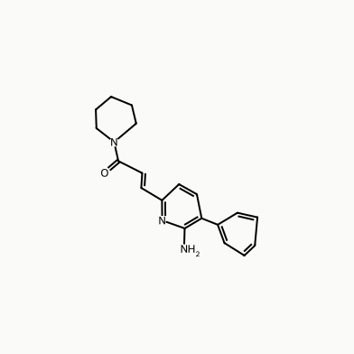 Nc1nc(C=CC(=O)N2CCCCC2)ccc1-c1ccccc1